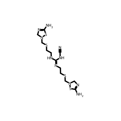 N#CNC(=NCCSCN1CN=C(N)S1)NCCSCN1CN=C(N)S1